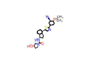 CC(C)Oc1ccc(-c2ncc(-c3cccc4c3CC[C@@H]4NC(=O)N3CC[C@H](O)C3)s2)cc1C#N